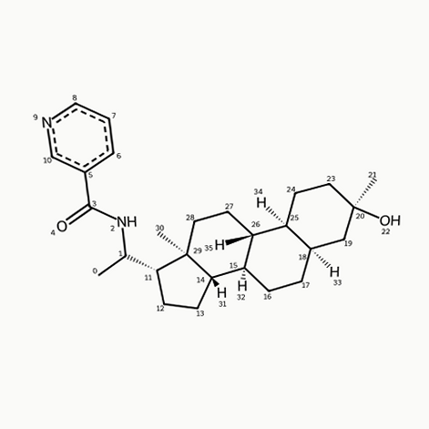 CC(NC(=O)c1cccnc1)[C@H]1CC[C@H]2[C@@H]3CC[C@@H]4C[C@](C)(O)CC[C@@H]4[C@H]3CC[C@]12C